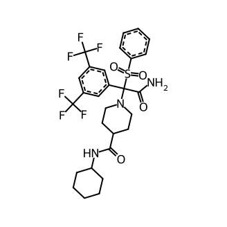 NC(=O)C(c1cc(C(F)(F)F)cc(C(F)(F)F)c1)(N1CCC(C(=O)NC2CCCCC2)CC1)S(=O)(=O)c1ccccc1